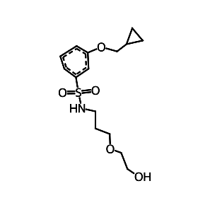 O=S(=O)(NCCCOCCO)c1cccc(OCC2CC2)c1